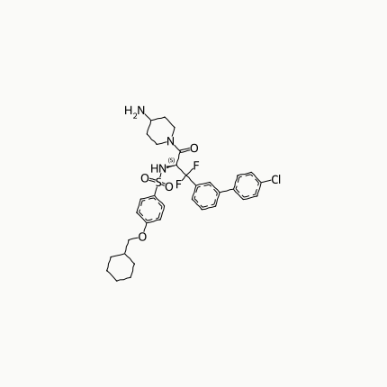 NC1CCN(C(=O)[C@H](NS(=O)(=O)c2ccc(OCC3CCCCC3)cc2)C(F)(F)c2cccc(-c3ccc(Cl)cc3)c2)CC1